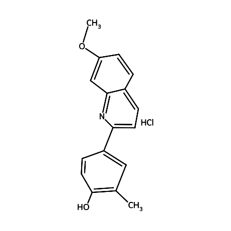 COc1ccc2ccc(-c3ccc(O)c(C)c3)nc2c1.Cl